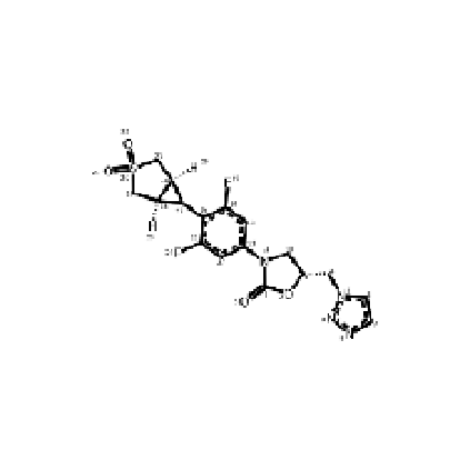 O=C1O[C@@H](Cn2ccnn2)CN1c1cc(F)c(C2[C@H]3CS(=O)(=O)C[C@@H]23)c(F)c1